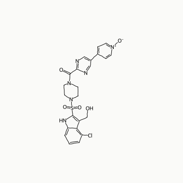 O=C(c1ncc(-c2cc[n+]([O-])cc2)cn1)N1CCN(S(=O)(=O)c2[nH]c3cccc(Cl)c3c2CO)CC1